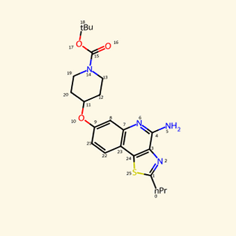 CCCc1nc2c(N)nc3cc(OC4CCN(C(=O)OC(C)(C)C)CC4)ccc3c2s1